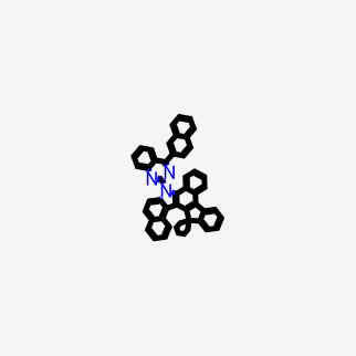 c1ccc2c(c1)-c1c(c3c4c5ccccc5ccc4n(-c4nc(-c5ccc6ccccc6c5)c5ccccc5n4)c3c3ccccc13)C21CCCCC1